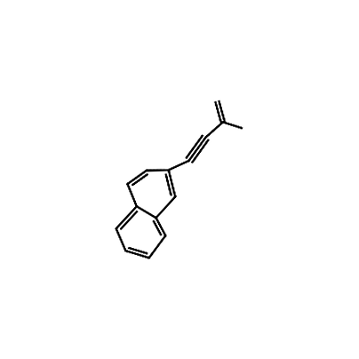 C=C(C)C#Cc1ccc2ccccc2c1